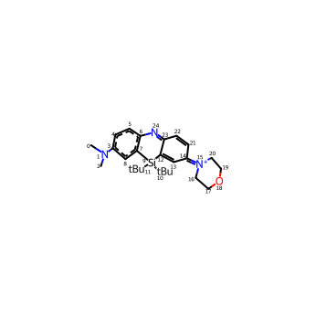 CN(C)c1ccc2c(c1)[Si](C(C)(C)C)(C(C)(C)C)C1=CC(=[N+]3CCOCC3)C=CC1=N2